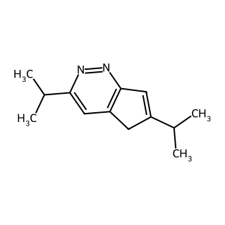 CC(C)C1=Cc2nnc(C(C)C)cc2C1